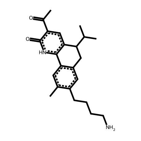 CC(=O)c1cc2c([nH]c1=O)-c1cc(C)c(CCCCN)cc1CC2C(C)C